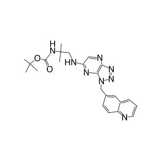 CC(C)(CNc1cnc2nnn(Cc3ccc4ncccc4c3)c2n1)NC(=O)OC(C)(C)C